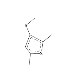 CSc1cc(C)sc1C